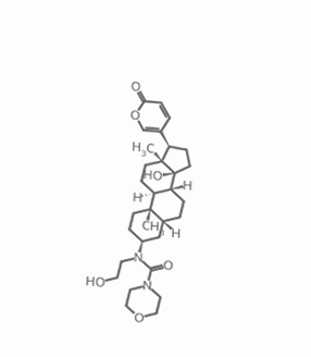 C[C@]12CC[C@H](N(CCO)C(=O)N3CCOCC3)C[C@H]1CC[C@@H]1[C@@H]2CC[C@]2(C)[C@@H](c3ccc(=O)oc3)CC[C@]12O